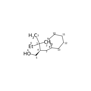 CCC(C)(C)[C@H](CO)CC1CCCCC1